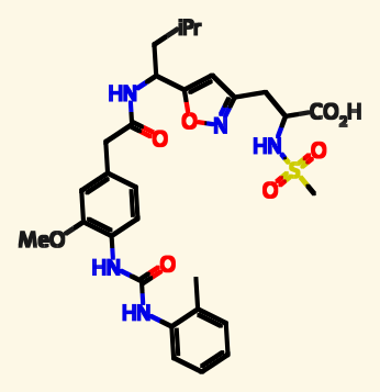 COc1cc(CC(=O)NC(CC(C)C)c2cc(CC(NS(C)(=O)=O)C(=O)O)no2)ccc1NC(=O)Nc1ccccc1C